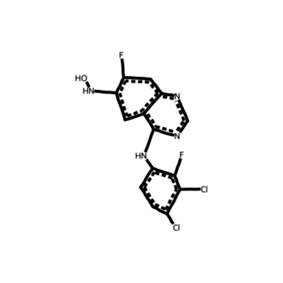 ONc1cc2c(Nc3ccc(Cl)c(Cl)c3F)ncnc2cc1F